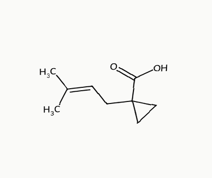 CC(C)=CCC1(C(=O)O)CC1